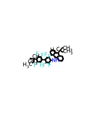 CCC(C)(CC)c1c(F)c(F)c(-c2c(F)c(F)c(Nc3c4ccccc4c(C(C)(CC)CC)c4ccccc34)c(F)c2F)c(F)c1F